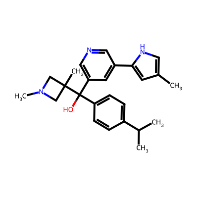 Cc1c[nH]c(-c2cncc(C(O)(c3ccc(C(C)C)cc3)C3(C)CN(C)C3)c2)c1